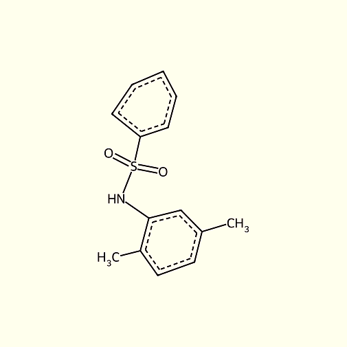 Cc1ccc(C)c(NS(=O)(=O)c2ccccc2)c1